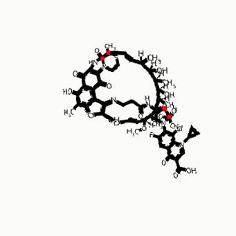 CO[C@H]1/C=C/O[C@@]2(C)Oc3c(C)c(O)c4c(c3/C2=N/CCC(=O)NC2CCN(c3c(F)cc5c(=O)c(C(=O)O)cn(C6CC6)c5c3Cl)C2)C(=O)C(N2CCOCC2)=C(NC(=O)/C(C)=C\C=C\[C@H](C)[C@H](O)[C@@H](C)[C@@H](O)[C@@H](C)[C@H](OC(C)=O)[C@@H]1C)C4=O